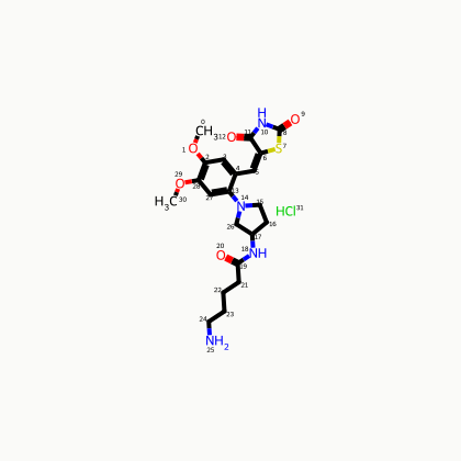 COc1cc(/C=C2/SC(=O)NC2=O)c(N2CCC(NC(=O)CCCCN)C2)cc1OC.Cl